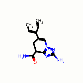 C=C/C(=C\C)C1=Cn2nc(N)nc2C(C(N)=O)C1